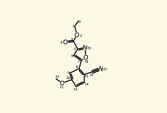 CCOC(=O)c1cc(-c2cc(OC)ccc2C#N)on1